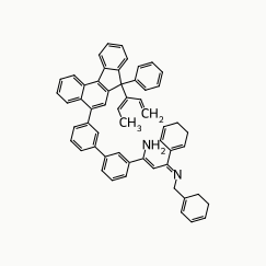 C=C/C(=C\C)C1(c2ccccc2)c2ccccc2-c2c1cc(-c1cccc(-c3cccc(/C(N)=C/C(=N\CC4=CC=CCC4)C4=CCCC=C4)c3)c1)c1ccccc21